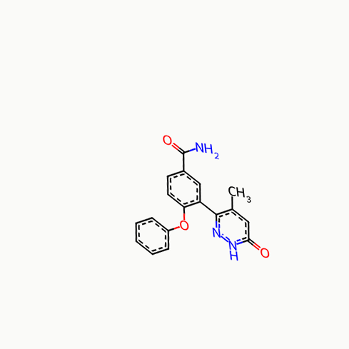 Cc1cc(=O)[nH]nc1-c1cc(C(N)=O)ccc1Oc1ccccc1